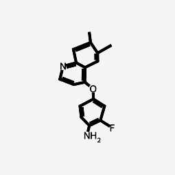 Cc1cc2nccc(Oc3ccc(N)c(F)c3)c2cc1C